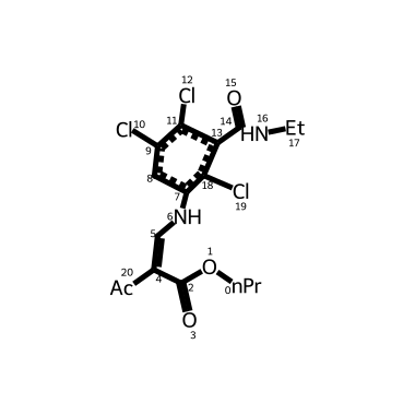 CCCOC(=O)C(=CNc1cc(Cl)c(Cl)c(C(=O)NCC)c1Cl)C(C)=O